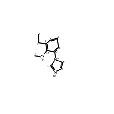 CCc1cccc(-n2ccnc2)c1OC